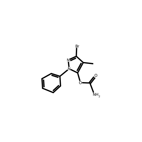 Cc1c(Br)nn(-c2ccccc2)c1OC(N)=O